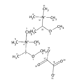 COC(C)[N+](C)(C)C.COC(C)[N+](C)(C)C.O=C([O-])C(=O)[O-]